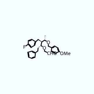 COc1ccc(CO[C@@H](C)[C@H](Cc2ccc(F)cc2)[C@@H](CCc2ccccc2)OCC=O)cc1